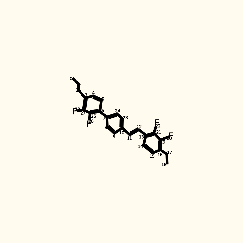 CCCc1ccc(-c2ccc(/C=C/c3ccc(CC)c(F)c3F)cc2)c(F)c1F